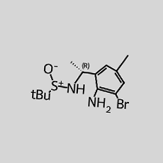 Cc1cc(Br)c(N)c([C@@H](C)N[S+]([O-])C(C)(C)C)c1